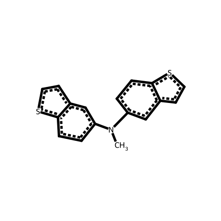 CN(c1ccc2sccc2c1)c1ccc2sccc2c1